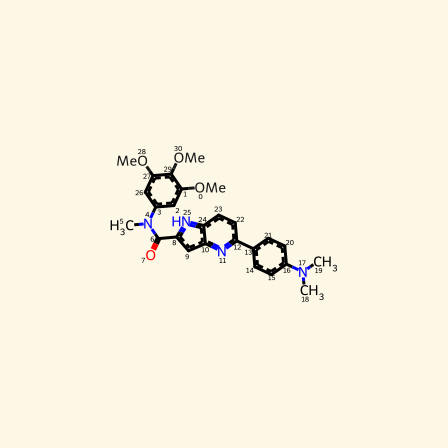 COc1cc(N(C)C(=O)c2cc3nc(-c4ccc(N(C)C)cc4)ccc3[nH]2)cc(OC)c1OC